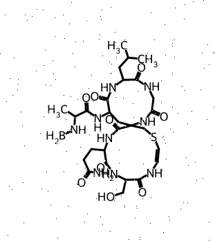 BNC(C)C(=O)NC1CC2(CS/C=C\NC(=O)C(CO)NC(=O)C(CCC(N)=O)NC2=O)NC(=O)CNC(=O)C(CC(C)C)NC1=O